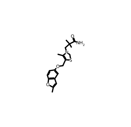 CC1=C(COc2ccc3oc(C)cc3c2)SCN1CC(C)(C)C(N)=O